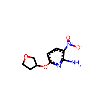 Nc1nc(OC2CCOC2)ccc1[N+](=O)[O-]